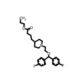 CCCOC(=O)CCCC1CCN(CCOC(c2ccc(F)cc2)c2ccc(F)cc2)CC1